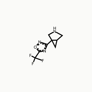 FC(F)(F)c1nc(C23CNCC2C3)no1